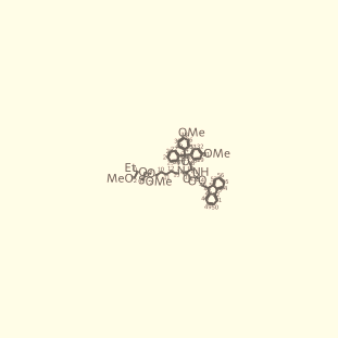 CCC(COC)OP(=S)(OC)OCCCCCNC(=O)C(COC(c1ccccc1)(c1ccc(OC)cc1)c1ccc(OC)cc1)NC(=O)OCC1c2ccccc2-c2ccccc21